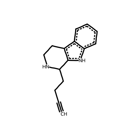 C#CCCC1NCCc2c1[nH]c1ccccc21